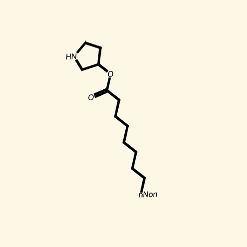 CCCCCCCCCCCCCCCCC(=O)OC1C[CH]NC1